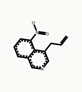 C=CCc1cncc2cccc([N+](=O)[O-])c12